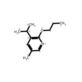 CCCOc1ncc(C)cc1C(C)C